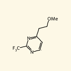 COCCc1c[c]nc(C(F)(F)F)n1